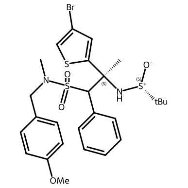 COc1ccc(CN(C)S(=O)(=O)C(c2ccccc2)[C@](C)(N[S@+]([O-])C(C)(C)C)c2cc(Br)cs2)cc1